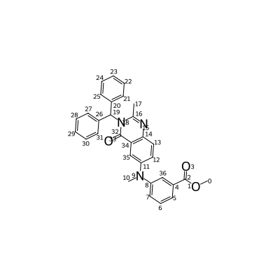 COC(=O)c1cccc(N(C)c2ccc3nc(C)n(C(c4ccccc4)c4ccccc4)c(=O)c3c2)c1